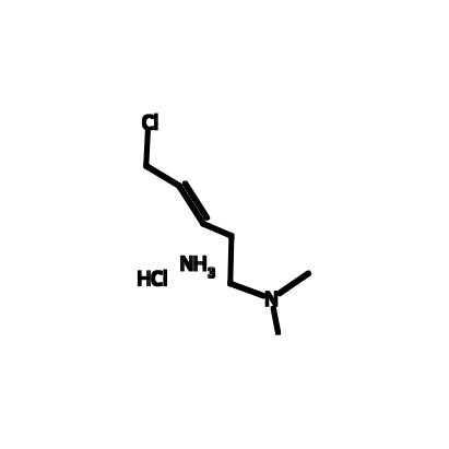 CN(C)CCC=CCCl.Cl.N